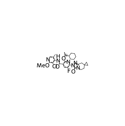 COc1ncc(C)c(NC(=O)c2cc(F)c(-n3nc4n(c3=O)CCC3(CC3)C4)nc2O[C@@H](C)C2CCCCC2)c1Cl